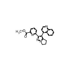 COC(=O)c1cccc(-c2nn3c(c2-c2ccnc4ccccc24)CCC3)n1